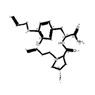 C=CCCN1C[C@@H](F)CC1C(=O)N[C@@H](Cc1ccc(OCC=C)c(Cl)c1)C(N)=O